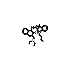 CCCCN1c2ccccc2C(C)(C)C12C=Nc1c(c(CN(CC)CC)cc3ccccc13)O2